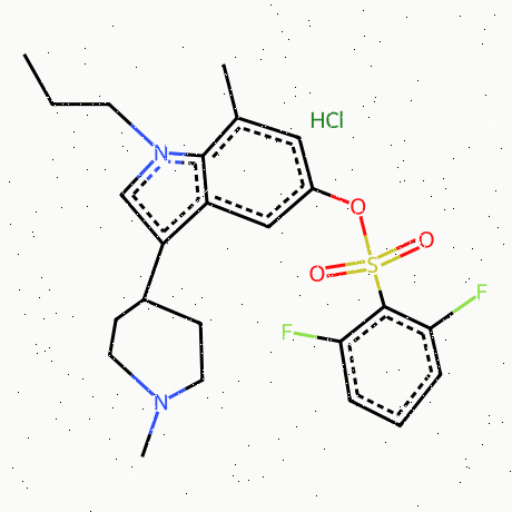 CCCn1cc(C2CCN(C)CC2)c2cc(OS(=O)(=O)c3c(F)cccc3F)cc(C)c21.Cl